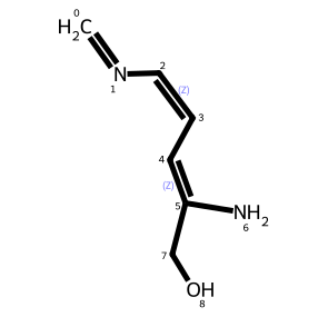 C=N/C=C\C=C(/N)CO